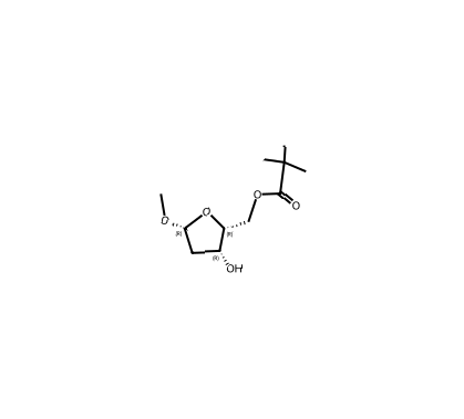 CO[C@H]1C[C@@H](O)[C@@H](COC(=O)C(C)(C)C)O1